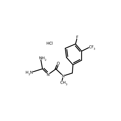 CN(Cc1ccc(F)c(C(F)(F)F)c1)C(=O)N=C(N)N.Cl